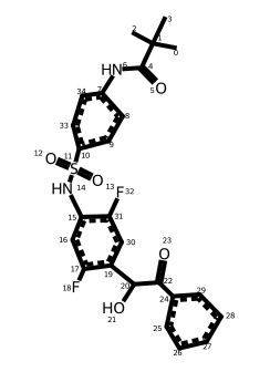 CC(C)(C)C(=O)Nc1ccc(S(=O)(=O)Nc2cc(F)c(C(O)C(=O)c3ccccc3)cc2F)cc1